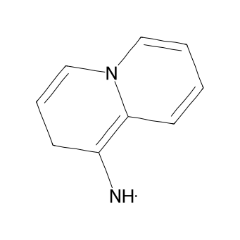 [NH]C1=C2C=CC=CN2C=CC1